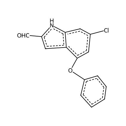 O=Cc1cc2c(Oc3ccccc3)cc(Cl)cc2[nH]1